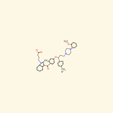 COc1ccccc1N1CCN(CCC(Oc2ccc(C(=O)c3c(C)n(CCCC(=O)[O-])c4ccccc34)cc2)c2ccc(C)cc2)CC1.[K+]